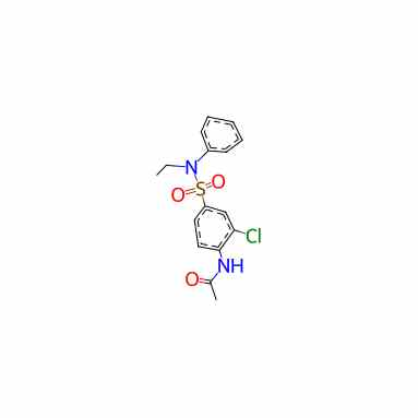 CCN(c1ccccc1)S(=O)(=O)c1ccc(NC(C)=O)c(Cl)c1